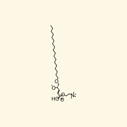 CCCCCCCCCCCCCCCCCCOC[C@@H](/C=C/P(=O)(O)OCC[N+](C)(C)C)OC